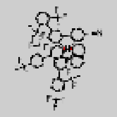 N#Cc1ccc(-c2cc(-c3c(C(F)(F)F)cccc3C(F)(F)F)ccc2-n2c3ccccc3c3cc(-c4ccc(C(F)(F)F)cc4C(F)(F)F)ccc32)c(-n2c3ccccc3c3cc(-c4ccc(C(F)(F)F)cc4C(F)(F)F)ccc32)c1